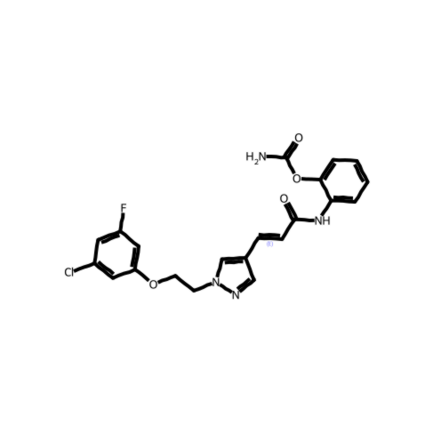 NC(=O)Oc1ccccc1NC(=O)/C=C/c1cnn(CCOc2cc(F)cc(Cl)c2)c1